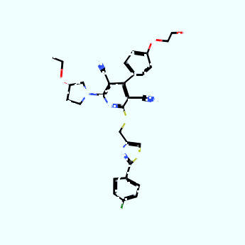 CCO[C@@H]1CCN(c2nc(SCc3csc(-c4ccc(Cl)cc4)n3)c(C#N)c(-c3ccc(OCCO)cc3)c2C#N)C1